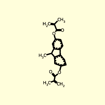 C=C(C)C(=O)Oc1ccc2c(c1)C(C)c1cc(OC(=O)C(=C)C)ccc1-2